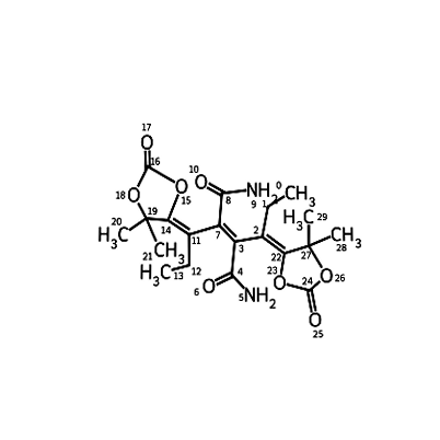 CCC(C(C(N)=O)=C(C(N)=O)C(CC)=C1OC(=O)OC1(C)C)=C1OC(=O)OC1(C)C